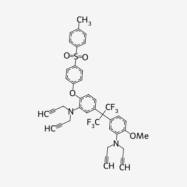 C#CCN(CC#C)c1cc(C(c2ccc(Oc3ccc(S(=O)(=O)c4ccc(C)cc4)cc3)c(N(CC#C)CC#C)c2)(C(F)(F)F)C(F)(F)F)ccc1OC